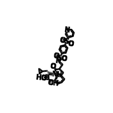 O=C(N[C@@H](CC1CC1)B(O)O)C(C=NS(=O)(=O)c1ccc(S(=O)(=O)c2cccnc2)cc1)Cc1ccccc1